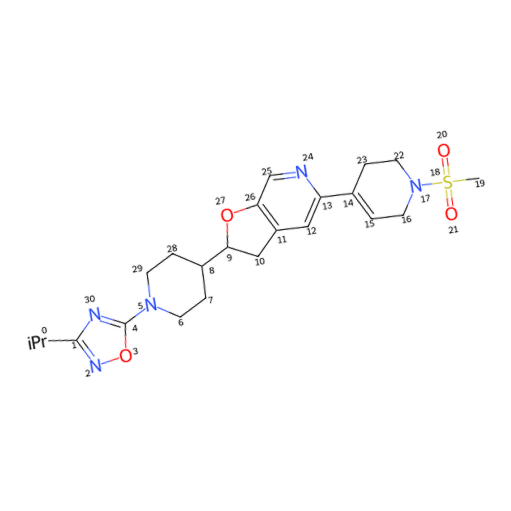 CC(C)c1noc(N2CCC(C3Cc4cc(C5=CCN(S(C)(=O)=O)CC5)ncc4O3)CC2)n1